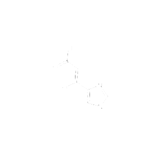 CC(=O)/C=C(\O)c1c[nH]cn1